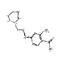 NC(=O)c1ccc(OCCC2CCCCO2)cc1C(F)(F)F